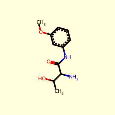 COc1cc[c]c(NC(=O)C(N)C(C)O)c1